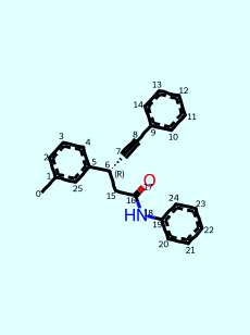 Cc1cccc([C@H](C#Cc2ccccc2)CC(=O)Nc2ccccc2)c1